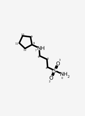 NS(=O)(=O)CCCNC1CCCC1